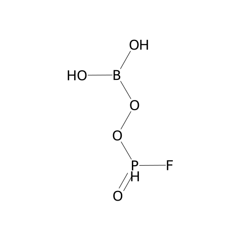 O=[PH](F)OOB(O)O